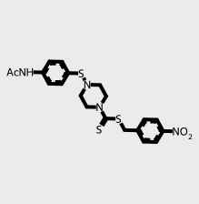 CC(=O)Nc1ccc(SN2CCN(C(=S)SCc3ccc([N+](=O)[O-])cc3)CC2)cc1